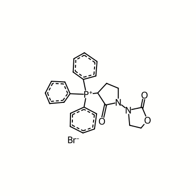 O=C1OCCN1N1CCC([P+](c2ccccc2)(c2ccccc2)c2ccccc2)C1=O.[Br-]